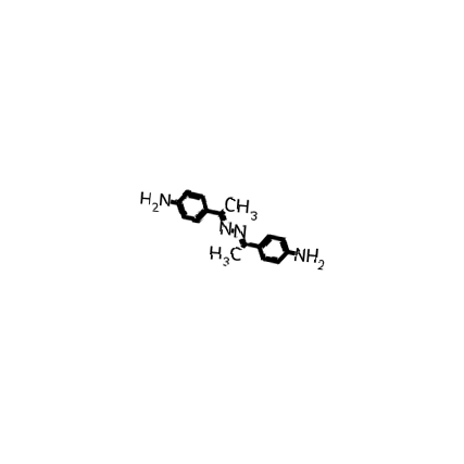 C/C(=N\N=C(/C)c1ccc(N)cc1)c1ccc(N)cc1